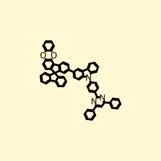 c1ccc(-c2cc(-c3ccccc3)nc(-c3ccc(-n4c5ccccc5c5cc(-c6ccc7c(c6)C6(c8ccccc8-c8ccccc86)c6ccc8c(c6-7)Oc6ccccc6O8)ccc54)cc3)n2)cc1